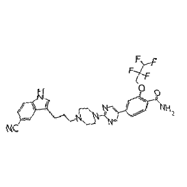 N#Cc1ccc2[nH]cc(CCCN3CCN(c4ncc(-c5ccc(C(N)=O)c(OCC(F)(F)C(F)F)c5)cn4)CC3)c2c1